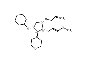 C=CCO[C@H]1C[C@@H](OC2CCCCO2)[C@H](N2CCOCC2)[C@H]1CC=COC